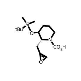 CC(C)(C)[Si](C)(C)O[C@H]1CCCN(C(=O)O)[C@@H]1CC1=CO1